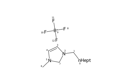 CCCCCCCCN1C=CN(C)C1.F[B-](F)(F)F